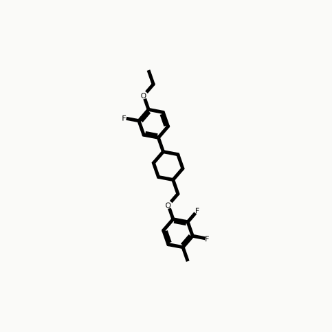 CCOc1ccc(C2CCC(COc3ccc(C)c(F)c3F)CC2)cc1F